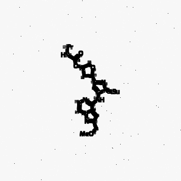 COCc1cc2c(Nc3cc(C4CC(OC(=O)NC(C)C)CO4)nn3C(C)(C)C)nccn2n1